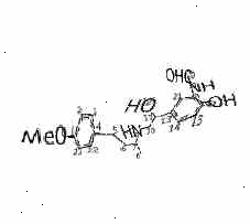 COc1ccc(CCC(C)NCC(O)c2ccc(O)c(NC=O)c2)cc1